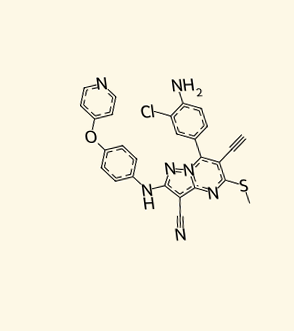 C#Cc1c(SC)nc2c(C#N)c(Nc3ccc(Oc4ccncc4)cc3)nn2c1-c1ccc(N)c(Cl)c1